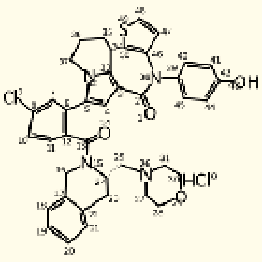 Cl.O=C(c1cc(-c2cc(Cl)ccc2C(=O)N2Cc3ccccc3C[C@H]2CN2CCOCC2)n2c1CCCC2)N(c1ccc(O)cc1)c1ccsc1